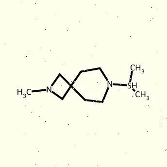 CN1CC2(CCN([SH](C)C)CC2)C1